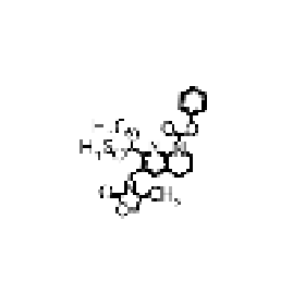 COC(OC)c1nc2c(cc1CN1C(=O)OCC1C)CCCN2C(=O)Oc1ccccc1